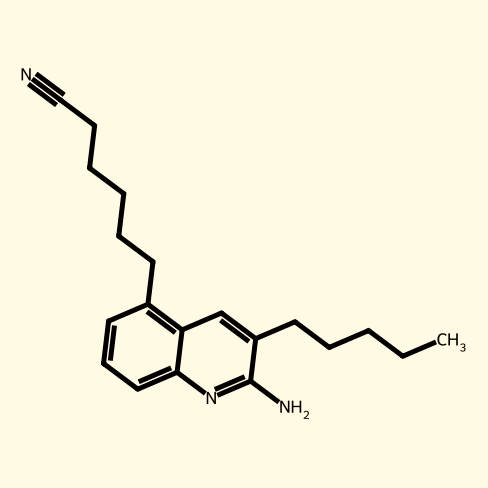 CCCCCc1cc2c(CCCCCC#N)cccc2nc1N